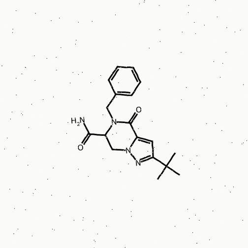 CC(C)(C)c1cc2n(n1)CC(C(N)=O)N(Cc1ccccc1)C2=O